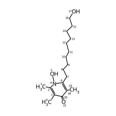 Cc1c(C)n(O)c(CCCCCCCCCCO)c(C)c1=O